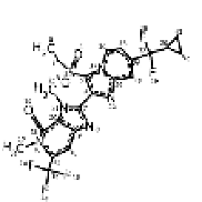 CCS(=O)(=O)c1c(-c2nc3cc(C(F)(F)F)n(C)c(=O)c3n2C)nc2cc(C(F)(F)C3CC3)ccn12